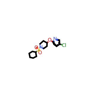 O=S(=O)(C1CCCCC1)N1CCC(Oc2ccc(Cl)cn2)CC1